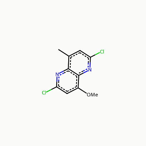 COc1cc(Cl)nc2c(C)cc(Cl)nc12